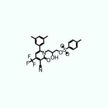 Cc1ccc(S(=O)(=O)OCC(O)Cn2c(-c3cc(C)cc(C)c3)cc(C(F)(F)F)c(C#N)c2=O)cc1